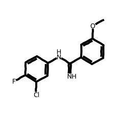 COc1cccc(C(=N)Nc2ccc(F)c(Cl)c2)c1